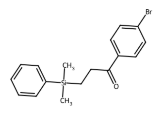 C[Si](C)(CCC(=O)c1ccc(Br)cc1)c1ccccc1